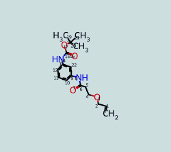 C=CCOCCC(=O)Nc1cccc(NC(=O)OC(C)(C)C)c1